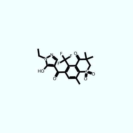 CCn1ncc(C(=O)c2cc(C)c3c(c2C(F)(F)F)C(=O)C(C)(C)CS3(=O)=O)c1O